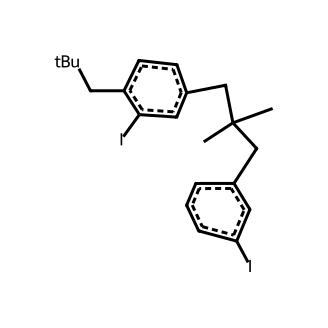 CC(C)(C)Cc1ccc(CC(C)(C)Cc2cccc(I)c2)cc1I